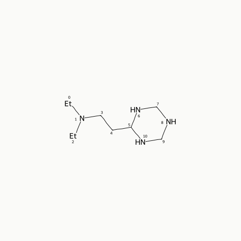 CCN(CC)CCC1NCNCN1